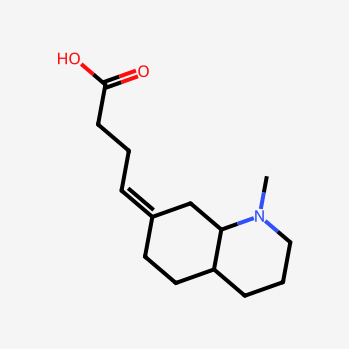 CN1CCCC2CCC(=CCCC(=O)O)CC21